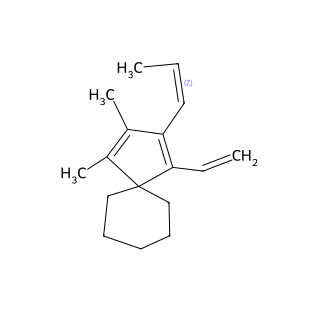 C=CC1=C(/C=C\C)C(C)=C(C)C12CCCCC2